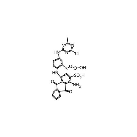 Cc1nc(Cl)nc(Nc2ccc(Nc3cc(S(=O)(=O)O)c(N)c4c3C(=O)c3ccccc3C4=O)c(SOOO)c2)n1